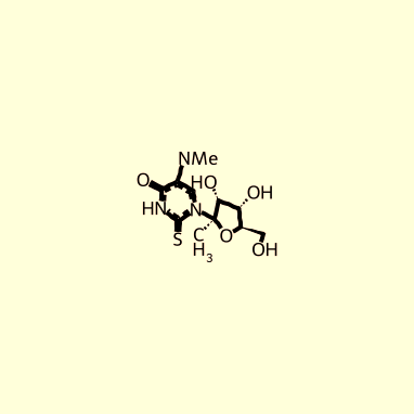 CNc1cn([C@]2(C)O[C@H](CO)[C@@H](O)[C@H]2O)c(=S)[nH]c1=O